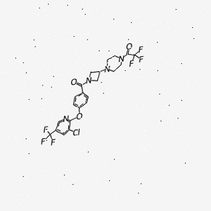 O=C(c1ccc(Oc2ncc(C(F)(F)F)cc2Cl)cc1)N1CC(N2CCN(C(=O)C(F)(F)F)CC2)C1